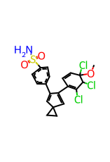 COC1(Cl)C=CC(C2=CC3(C=C2c2ccc(S(N)(=O)=O)cc2)CC3)=C(Cl)C1Cl